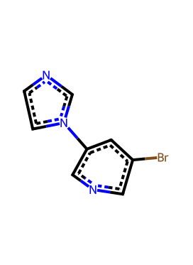 Brc1cncc(-n2ccnc2)c1